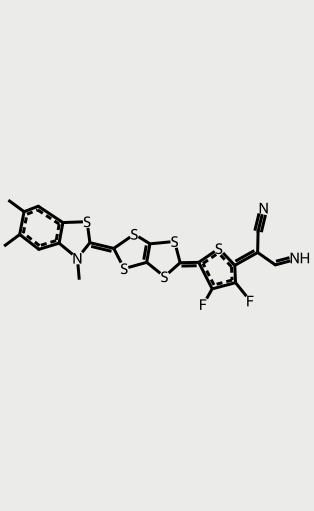 Cc1cc2c(cc1C)N(C)C(=C1SC3=C(S1)SC(=c1s/c(=C(\C#N)C=N)c(F)c1F)S3)S2